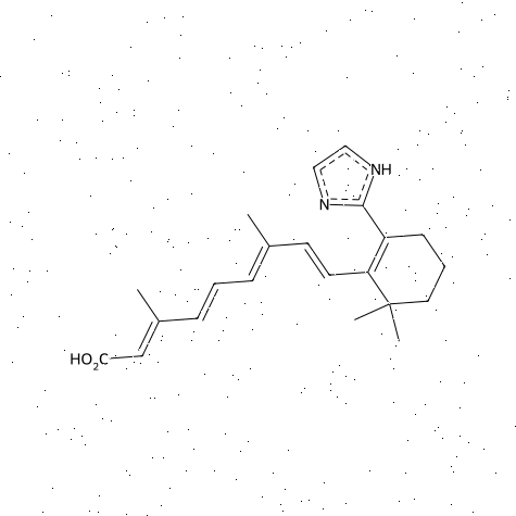 CC(/C=C/C1=C(c2ncc[nH]2)CCCC1(C)C)=C\C=C\C(C)=C\C(=O)O